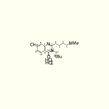 CNCCCCc1nc2cc(Cl)ccc2c(=O)n1CC(C)(C)C.Cl.Cl